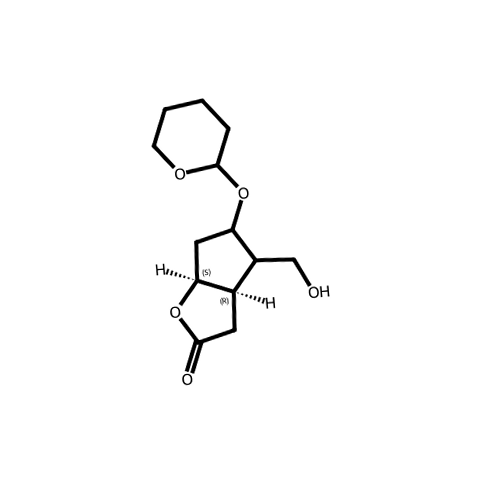 O=C1C[C@@H]2C(CO)C(OC3CCCCO3)C[C@@H]2O1